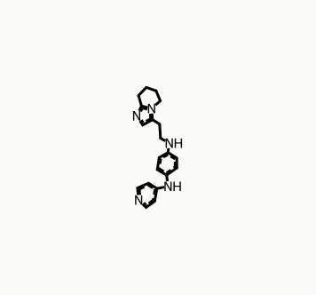 c1cc(Nc2ccc(NCCc3cnc4n3CCCC4)cc2)ccn1